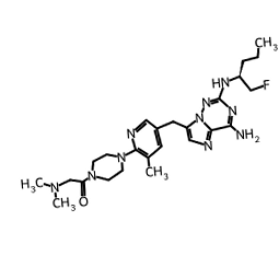 CCC[C@@H](CF)Nc1nc(N)c2ncc(Cc3cnc(N4CCN(C(=O)CN(C)C)CC4)c(C)c3)n2n1